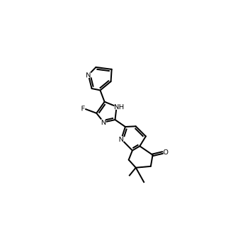 CC1(C)CC(=O)c2ccc(-c3nc(F)c(-c4cccnc4)[nH]3)nc2C1